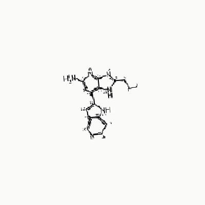 CCCc1nc2nc(N)cc(-c3cc4ccccc4[nH]3)c2[nH]1